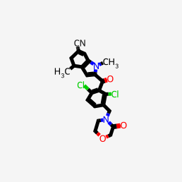 CC1CC(C#N)=Cc2c1cc(C(=O)c1c(Cl)ccc(CN3CCOCC3=O)c1Cl)n2C